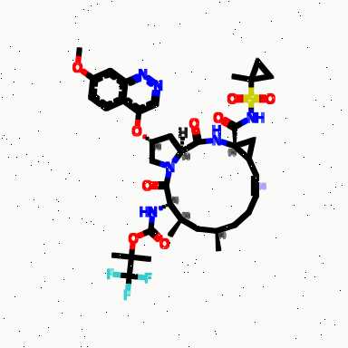 COc1ccc2c(O[C@@H]3C[C@H]4C(=O)N[C@]5(C(=O)NS(=O)(=O)C6(C)CC6)CC5/C=C\CC[C@@H](C)C[C@@H](C)[C@H](NC(=O)OC(C)(C)C(F)(F)F)C(=O)N4C3)cnnc2c1